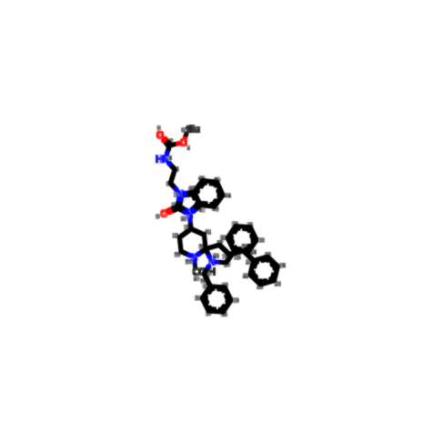 CC(C)(C)OC(=O)NCCn1c(=O)n(C2CCN(C(=O)O)C(CCCc3ccccc3)(N(Cc3ccccc3)Cc3ccccc3)C2)c2ccccc21